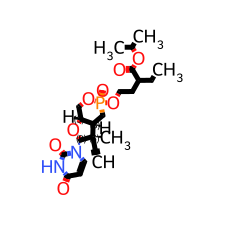 C#C[C@]1(C)[C@@H]2CP(=O)(OCCC(CC)C(=O)OC(C)C)OC[C@H]2O[C@H]1n1ccc(=O)[nH]c1=O